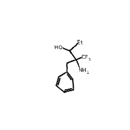 CCC(O)C(N)(Cc1ccccc1)C(F)(F)F